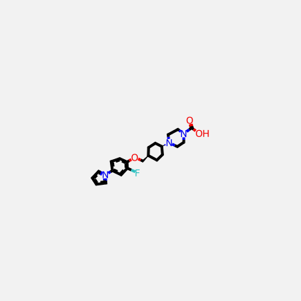 O=C(O)N1CCN([C@H]2CC[C@H](COc3ccc(-n4cccc4)cc3F)CC2)CC1